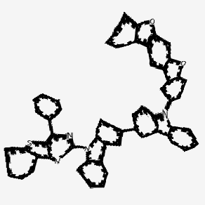 c1ccc(-c2nc(-n3c4ccccc4c4cc(-c5ccc6c(c5)c5ccccc5n6-c5ccc6oc7cc8oc9ccccc9c8cc7c6c5)ccc43)nc3c2sc2ccccc23)cc1